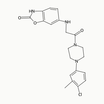 Cc1cc(N2CCN(C(=O)CNc3ccc4[nH]c(=O)oc4c3)CC2)ccc1Cl